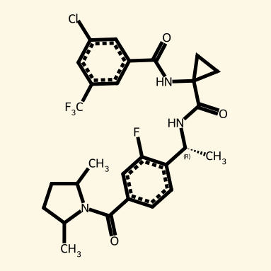 CC1CCC(C)N1C(=O)c1ccc([C@@H](C)NC(=O)C2(NC(=O)c3cc(Cl)cc(C(F)(F)F)c3)CC2)c(F)c1